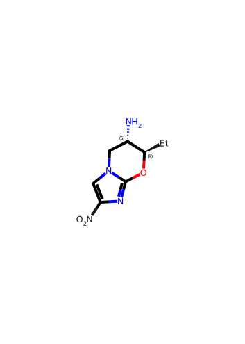 CC[C@H]1Oc2nc([N+](=O)[O-])cn2C[C@@H]1N